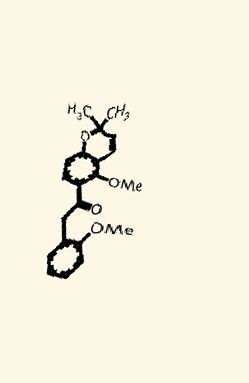 COc1ccccc1CC(=O)c1ccc2c(c1OC)C=CC(C)(C)O2